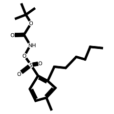 CCCCCCc1cc(C)ccc1S(=O)(=O)ONC(=O)OC(C)(C)C